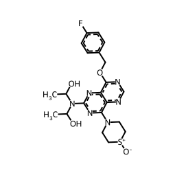 CC(O)N(c1nc(N2CC[S+]([O-])CC2)c2ncnc(OCc3ccc(F)cc3)c2n1)C(C)O